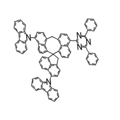 c1ccc(-c2nc(-c3ccccc3)nc(-c3ccc4c5c(cccc35)C3(Cc5ccc(-n6c7ccccc7c7ccccc76)c6cccc3c56)c3cccc5c(-n6c7ccccc7c7ccccc76)ccc(c35)C4)n2)cc1